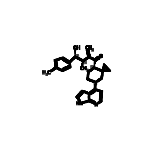 C=C(C(=O)[C@H]1CCN(c2ccnc3[nH]ccc23)CC12CC2)[C@@H](C)[C@@H](O)c1ccc(C)cc1